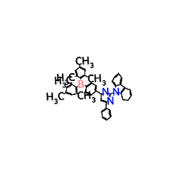 Cc1cc(C)c(B(c2ccc(-c3cc(-c4ccccc4)nc(-n4c5c(c6ccccc64)C=CCC5)n3)cc2)c2c(C)cc(C)cc2C)c(C)c1